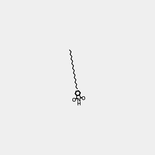 CCCCCCCCCCCCCCCCCC.O=C1NC(=O)c2ccccc21